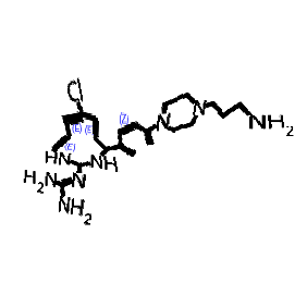 C=C(/C=C\C(=C)N1CCN(CCCN)CC1)C1/C=C/C(Cl)=C\C=C\NC(N=C(N)N)N1